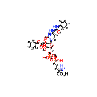 NC(CCCP(=O)(O)OP(=O)(O)OC[C@H]1O[C@@H](n2ccc(NC(=O)Nc3ccccc3)nc2=O)C(OC(=O)Oc2ccccc2)[C@H]1O)C(=O)O